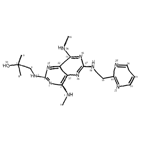 CNc1nc(NCC(C)(C)O)nc2c(NC)nc(NCc3ncccn3)nc12